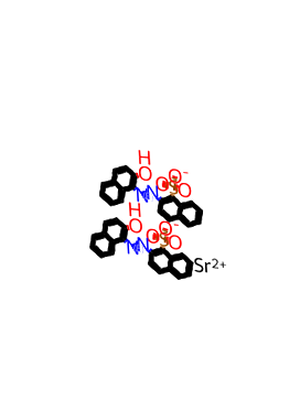 O=S(=O)([O-])c1c(/N=N/c2c(O)ccc3ccccc23)ccc2ccccc12.O=S(=O)([O-])c1c(/N=N/c2c(O)ccc3ccccc23)ccc2ccccc12.[Sr+2]